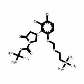 CC(C)(C)OC(=O)N1C[C@@H](c2c(OCOCC[Si](C)(C)C)ccc(Cl)c2Cl)CC1=O